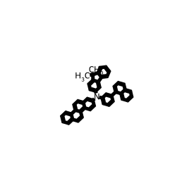 CC1(C)c2ccccc2-c2cc(N(c3cccc(-c4cccc5ccccc45)c3)c3ccc4c(ccc5c6ccccc6ccc45)c3)ccc21